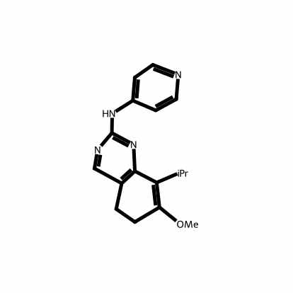 COC1=C(C(C)C)c2nc(Nc3ccncc3)ncc2CC1